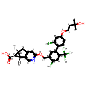 CC(C)(O)CCOc1ccc(-c2cc(COc3cc4c(cn3)[C@H]3[C@@H](C4)[C@@H]3C(=O)O)c(F)cc2C(F)(F)F)c(F)c1